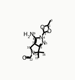 CC1OC(n2nc3c(c2N)CN(C=O)C3(C)C)O1